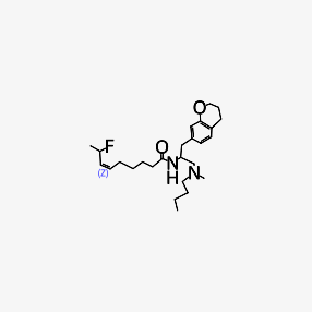 CCCCN(C)CC(Cc1ccc2c(c1)OCCC2)NC(=O)CCCC/C=C\C(C)F